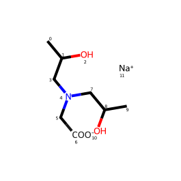 CC(O)CN(CC(=O)[O-])CC(C)O.[Na+]